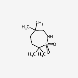 CC1(C)CCC(C)(C)S(=O)(=O)NC1